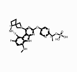 CNc1cc(F)c(F)c2c1[nH]c1nc(Oc3cnc([C@H](C)OP(=O)(O)O)nc3)nc(N3CC4(CC[C@@H]4N)C3)c12